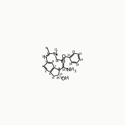 CC(=Nc1ccc2c(c1)[C@@H](C(N)=O)[C@H](O)C2)N(C)CCOc1ccccc1